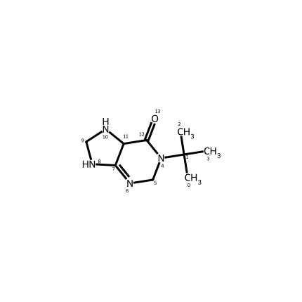 CC(C)(C)N1CN=C2NCNC2C1=O